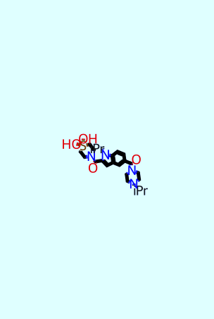 CC(C)N1CCN(C(=O)c2ccc3c(c2)cc(C(=O)N2CCS(O)(O)CC2)n3C(C)C)CC1